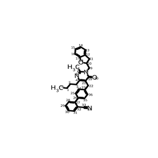 CCCCc1nc(C)n(CC2Cc3ccccc3O2)c(=O)c1Cc1ccc(-c2ccccc2C#N)cc1